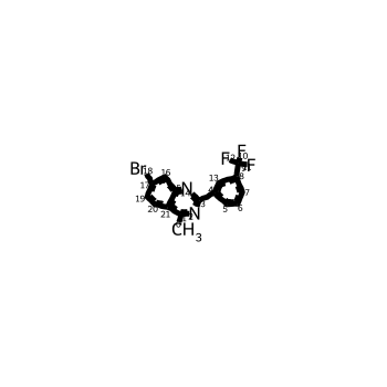 Cc1nc(-c2cccc(C(F)(F)F)c2)nc2cc(Br)ccc12